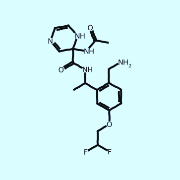 CC(=O)NC1(C(=O)NC(C)c2cc(OCC(F)F)ccc2CN)C=NC=CN1